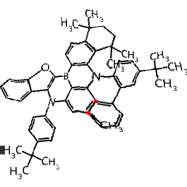 Cc1cc2c3c(c1)N(c1ccc(C(C)(C)C)cc1)c1c(oc4ccccc14)B3c1ccc3c(c1N2c1ccc(C(C)(C)C)cc1-c1ccccc1)C(C)(C)CCC3(C)C